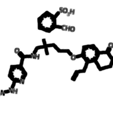 C=CCc1c(OCCCC(C)(C)CNC(=O)c2ccc(NN)nc2)ccc2c1CCCC2=O.O=Cc1ccccc1S(=O)(=O)O